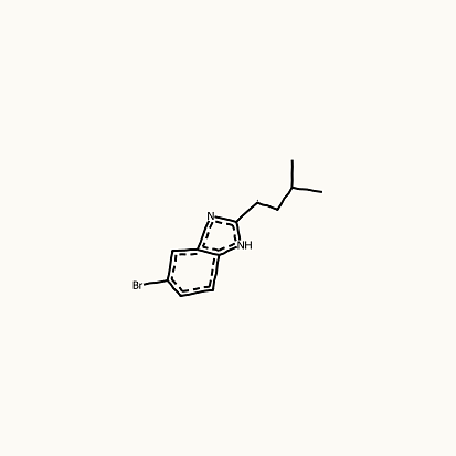 CC(C)C[CH]c1nc2cc(Br)ccc2[nH]1